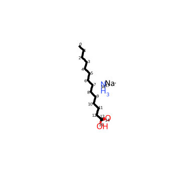 CCCCCCCCCCCCCC(=O)O.N.[Na]